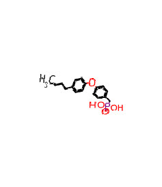 CCCCc1ccc(Oc2ccc(CP(=O)(O)O)cc2)cc1